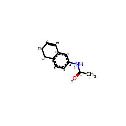 CC(=O)Nc1ccc2c(c1)C=CCC2